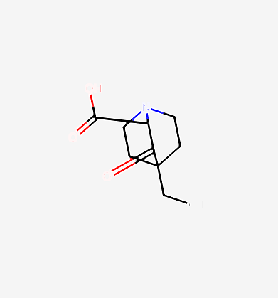 CCC12CCN(CC1)C(C(=O)O)C2=O